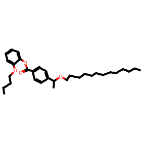 CCCCCCCCCCCCCOC(C)c1ccc(C(=O)Oc2ccccc2OCCCC)cc1